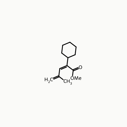 C=C(C)C=C(C(=O)OC)C1CCCCC1